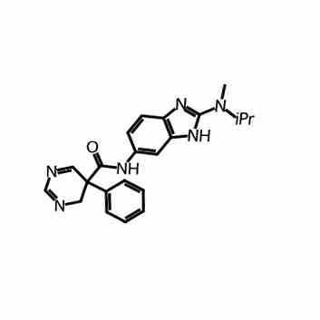 CC(C)N(C)c1nc2ccc(NC(=O)C3(c4ccccc4)C=NC=NC3)cc2[nH]1